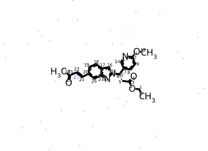 CCOC(=O)C[C@@H](c1ccc(OC)nc1)n1cc2ccc(/C=C/C(C)=O)cc2n1